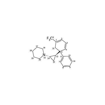 FC(F)(F)C1=CC=CC(c2ccccc2)([C@H]2C[C@@H]2N2CCCCC2)C1